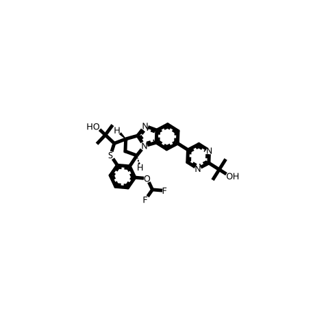 CC(C)(O)c1ncc(-c2ccc3nc4n(c3c2)[C@@H]2C[C@@H]4C(C(C)(C)O)Sc3cccc(OC(F)F)c32)cn1